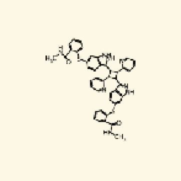 CNC(=O)c1ccccc1Sc1ccc2c(c1)NNC2C1C(c2ccccn2)C(c2n[nH]c3cc(Sc4ccccc4C(=O)NC)ccc23)C1c1ccccn1